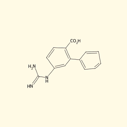 N=C(N)Nc1ccc(C(=O)O)c(-c2ccccc2)c1